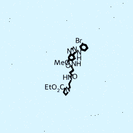 CCOC(=O)C1CCCN1CCCNC(=O)C=CC(=O)Nc1cc2c(Nc3cccc(Br)c3)ncnc2cc1OC